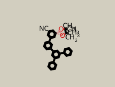 CC1(C)OB(c2cc(C#N)cc(-c3cccc(-c4cc(-c5ccccc5)cc(-c5ccccc5)c4)c3)c2)OC1(C)C